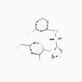 N#Cc1cccc(NS(=O)(=O)c2cncn2-c2ncc(CF)cc2Cl)c1